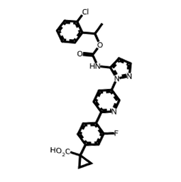 CC(OC(=O)Nc1ccnn1-c1ccc(-c2ccc(C3(C(=O)O)CC3)cc2F)nc1)c1ccccc1Cl